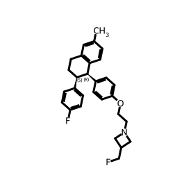 Cc1ccc2c(c1)CC[C@H](c1ccc(F)cc1)[C@@H]2c1ccc(OCCN2CC(CF)C2)cc1